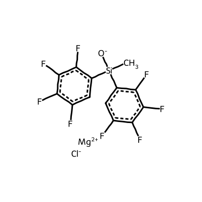 C[Si]([O-])(c1cc(F)c(F)c(F)c1F)c1cc(F)c(F)c(F)c1F.[Cl-].[Mg+2]